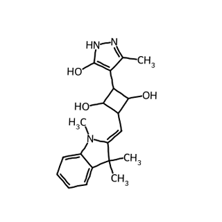 Cc1n[nH]c(O)c1C1C(O)C(C=C2N(C)c3ccccc3C2(C)C)C1O